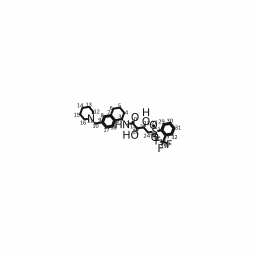 O=C(N[C@@H]1CCCc2cc(CN3CCCCC3)ccc21)[C@H](O)[C@H](O)CS(=O)(=O)c1ccccc1C(F)(F)F